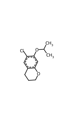 CC(C)Oc1cc2c(cc1Cl)CCCO2